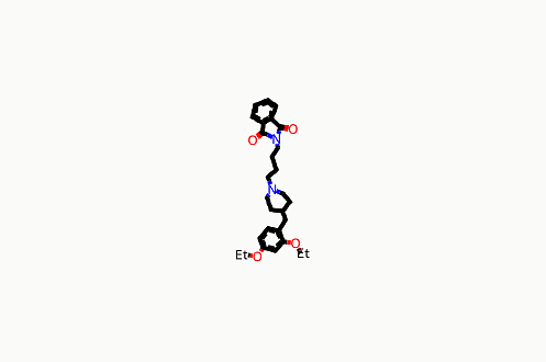 CCOc1ccc(CC2CCN(CCCCN3C(=O)c4ccccc4C3=O)CC2)c(OCC)c1